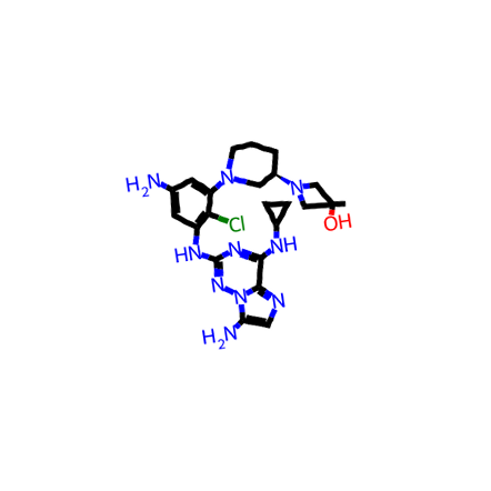 CC1(O)CN([C@@H]2CCCN(c3cc(N)cc(Nc4nc(NC5CC5)c5ncc(N)n5n4)c3Cl)C2)C1